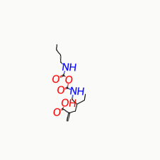 C=C(CC(CC)CNC(=O)OC(=O)NCCCC)C(=O)O